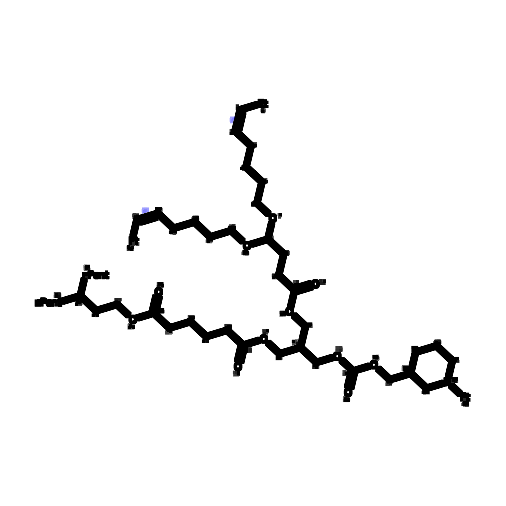 CC/C=C\CCCCOC(CCC(=O)OCC(COC(=O)CCCCC(=O)OCCC(CCCCC)CCCCC)COC(=O)OCC1CCCN(CC)C1)OCCCC/C=C\CC